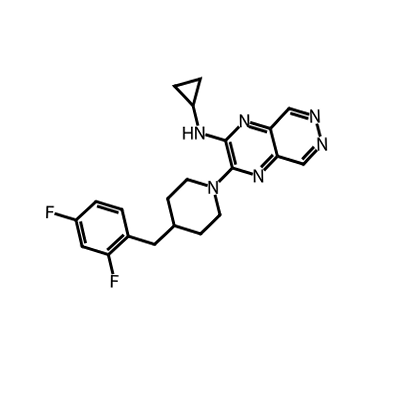 Fc1ccc(CC2CCN(c3nc4cnncc4nc3NC3CC3)CC2)c(F)c1